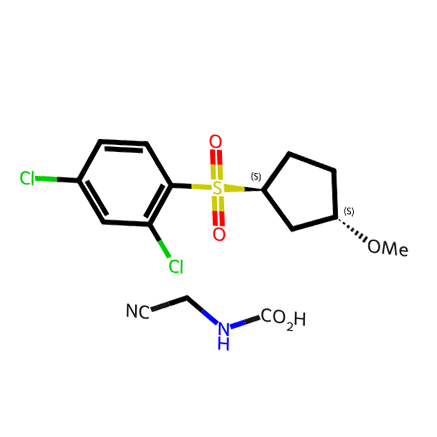 CO[C@H]1CC[C@H](S(=O)(=O)c2ccc(Cl)cc2Cl)C1.N#CCNC(=O)O